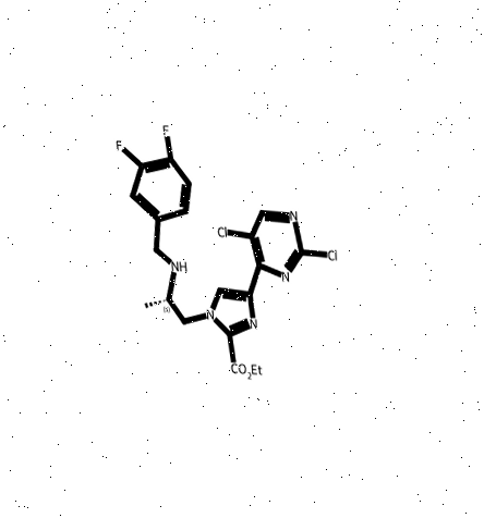 CCOC(=O)c1nc(-c2nc(Cl)ncc2Cl)cn1C[C@H](C)NCc1ccc(F)c(F)c1